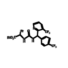 CCOC(=O)C(NC(=O)NC(c1ccc(C(F)(F)F)cc1)c1ncccc1C(F)(F)F)C(C)C